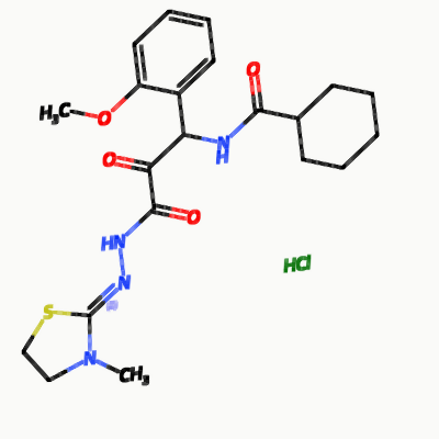 COc1ccccc1C(NC(=O)C1CCCCC1)C(=O)C(=O)N/N=C1\SCCN1C.Cl